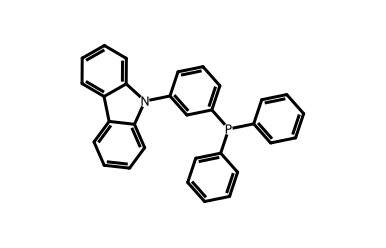 c1ccc(P(c2ccccc2)c2cccc(-n3c4ccccc4c4ccccc43)c2)cc1